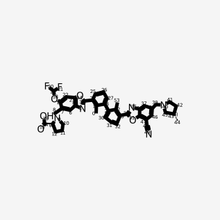 Cc1c(-c2nc3cc(CN4CCC[C@H]4C(=O)O)c(OC(F)F)cc3o2)cccc1-c1cccc(-c2nc3cc(CN4CC[C@H](C)C4)cc(C#N)c3o2)c1C